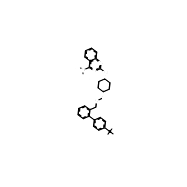 CN(C)c1nc(N[C@H]2CC[C@@H](CNCc3ccccc3-c3ccc(C(F)(F)F)cc3)CC2)nc2ccccc12